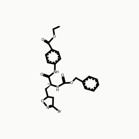 CCOC(=O)c1ccc(NC(=O)[C@H](CC2CC(Br)=NO2)NC(=O)OCc2ccccc2)cc1